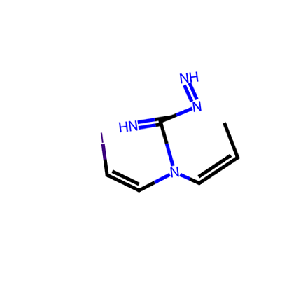 C/C=C\N(/C=C\I)C(=N)N=N